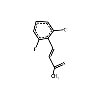 CC(=S)/C=C/c1c(F)cccc1Cl